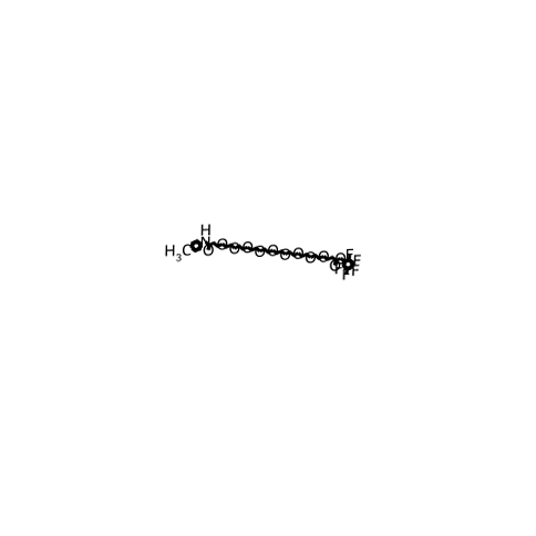 Cc1ccc(NC(=O)CCOCCOCCOCCOCCOCCOCCOCCOCCOCCC(=O)Oc2c(F)c(F)c(F)c(F)c2F)cc1